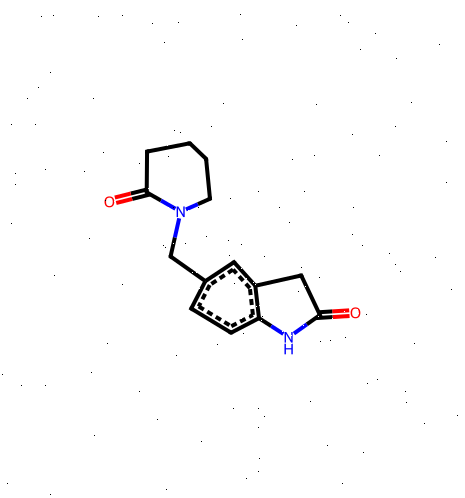 O=C1Cc2cc(CN3CCCCC3=O)ccc2N1